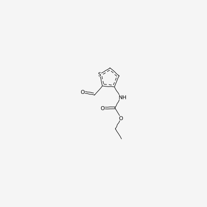 CCOC(=O)Nc1ccsc1C=O